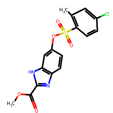 COC(=O)c1nc2ccc(OS(=O)(=O)c3ccc(Cl)cc3C)cc2[nH]1